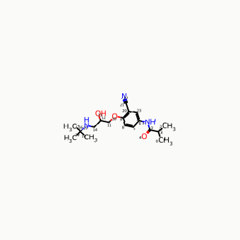 CC(C)C(=O)Nc1ccc(OCC(O)CNC(C)(C)C)c(C#N)c1